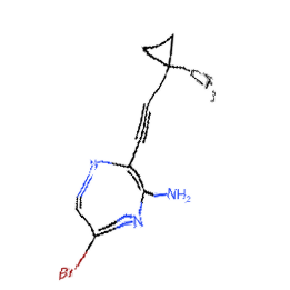 Nc1nc(Br)cnc1C#CC1(C(F)(F)F)CC1